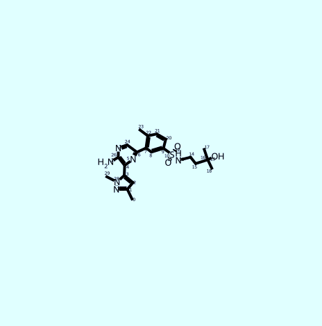 Cc1cc(-c2nc(-c3cc(S(=O)(=O)NCCC(C)(C)O)ccc3C)cnc2N)n(C)n1